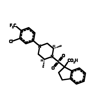 C[C@@H]1CN(c2ccc(C(F)(F)F)c(Cl)c2)C[C@H](C)N1S(=O)(=O)C1(C(=O)O)CCc2ccccc21